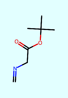 C=NCC(=O)OC(C)(C)C